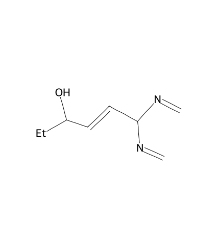 C=NC(C=CC(O)CC)N=C